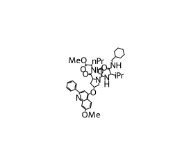 CCCC(NC(=O)C1CC(Oc2cc(-c3ccccc3)nc3cc(OC)ccc23)CN1C(=O)NC(C(=O)NCC1CCCCC1)C(C)C)C(=O)OC